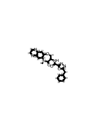 CN1C(=O)C(NC(=O)c2nnc(Cc3ccccc3)o2)COc2cc3nccnc3cc21